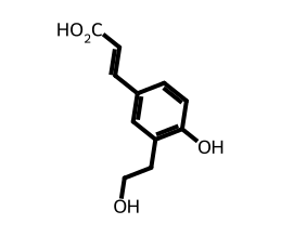 O=C(O)C=Cc1ccc(O)c(CCO)c1